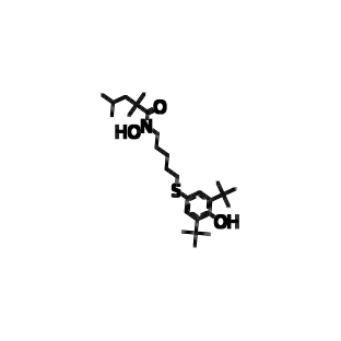 CC(C)CC(C)(C)C(=O)N(O)CCCCCSc1cc(C(C)(C)C)c(O)c(C(C)(C)C)c1